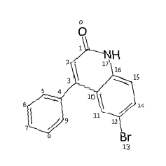 O=c1[c]c(-c2ccccc2)c2cc(Br)ccc2[nH]1